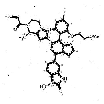 C=CC(=O)N1CCn2nc(-c3nc(-c4ccc5c(c4)[nH]c(=O)n5C)c4ccsc4c3-c3c(F)cc(F)cc3OCCOC)cc2[C@H]1C